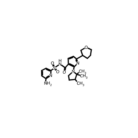 CC1CCN(c2nc(C3CCCOC3)ccc2C(=O)NS(=O)(=O)c2cccc(N)n2)C1(C)C